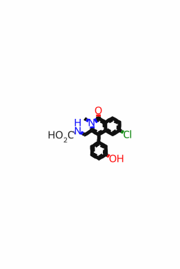 Cn1c(CNC(=O)O)c(-c2cccc(O)c2)c2cc(Cl)ccc2c1=O